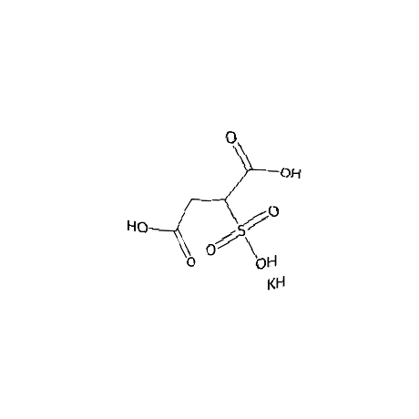 O=C(O)CC(C(=O)O)S(=O)(=O)O.[KH]